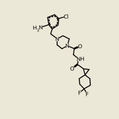 Nc1ccc(Cl)cc1CN1CCN(C(=O)CNC(=O)C2CC23CCC(F)(F)CC3)CC1